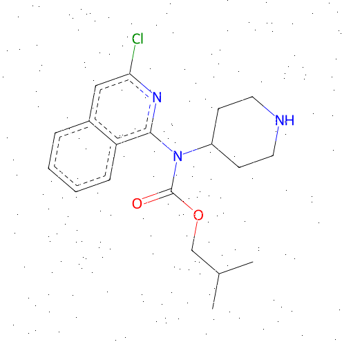 CC(C)COC(=O)N(c1nc(Cl)cc2ccccc12)C1CCNCC1